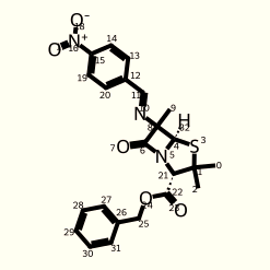 CC1(C)S[C@H]2N(C(=O)C2(C)/N=C/c2ccc([N+](=O)[O-])cc2)[C@H]1C(=O)OCc1ccccc1